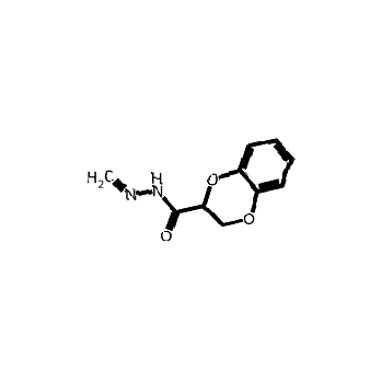 C=NNC(=O)C1COc2ccccc2O1